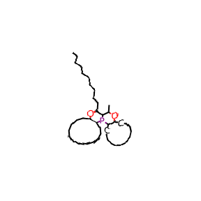 CCCCCCCCCCC1OC2CCCCCCCCCCCCC2P2C3CCCCCCCCCCCCC3OC(C)C12